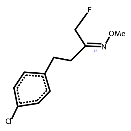 CO/N=C(\CF)CCc1ccc(Cl)cc1